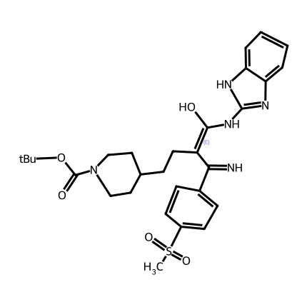 CC(C)(C)OC(=O)N1CCC(CC/C(C(=N)c2ccc(S(C)(=O)=O)cc2)=C(\O)Nc2nc3ccccc3[nH]2)CC1